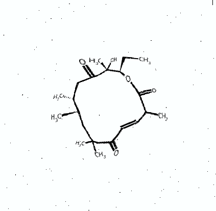 CC[C@H]1OC(=O)C(C)/C=C/C(=O)C(C)(C)C[C@@H](C)[C@H](C)CC(=O)[C@]1(C)O